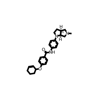 CN1C[C@@H]2CCN(c3ccc(NC(=O)c4ccc(OC5C=CCCC5)cc4)cc3)[C@@H]2C1